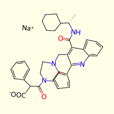 C[C@H](NC(=O)c1c(CN2CCN(C(=O)C(C(=O)[O-])c3ccccc3)CC2)c(-c2ccccc2)nc2ccccc12)C1CCCCC1.[Na+]